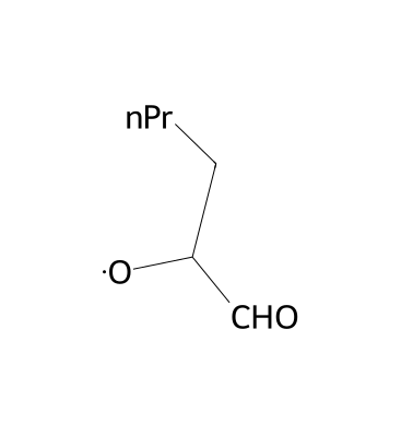 CCCCC([O])C=O